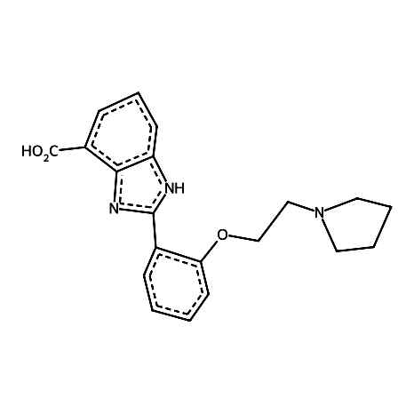 O=C(O)c1cccc2[nH]c(-c3ccccc3OCCN3CCCC3)nc12